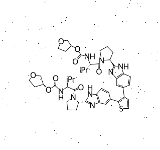 CC(C)[C@H](NC(=O)OC1CCOC1)C(=O)N1CCC[C@H]1c1nc2cc(-c3ccsc3-c3ccc4[nH]c([C@@H]5CCCN5C(=O)[C@@H](NC(=O)O[C@H]5CCOC5)C(C)C)nc4c3)ccc2[nH]1